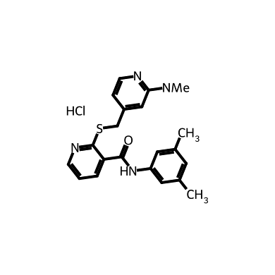 CNc1cc(CSc2ncccc2C(=O)Nc2cc(C)cc(C)c2)ccn1.Cl